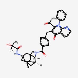 COC(=O)c1c(Cc2ccc(C(=O)N[C@@H]3[C@@H]4C[C@@H]5C[C@H]3C[C@](NC(=O)C(C)(C)O)(C5)C4)cc2)c(=O)c2cccnc2n1-c1ccccc1